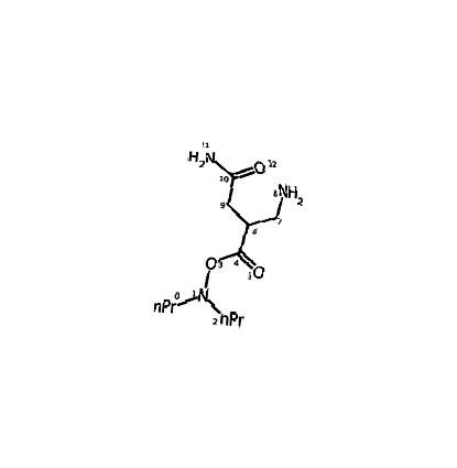 CCCN(CCC)OC(=O)C(CN)CC(N)=O